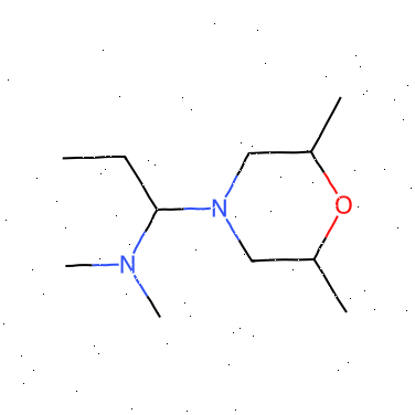 CCC(N(C)C)N1CC(C)OC(C)C1